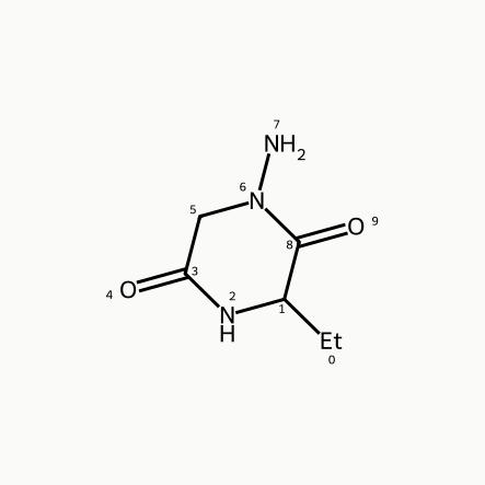 CCC1NC(=O)CN(N)C1=O